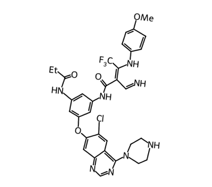 CCC(=O)Nc1cc(NC(=O)/C(C=N)=C(/Nc2ccc(OC)cc2)C(F)(F)F)cc(Oc2cc3ncnc(N4CCNCC4)c3cc2Cl)c1